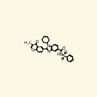 Cc1coc2ccc(-c3nc4cc(C(=O)NS(=O)(=O)c5ccccc5)ccc4n3C3CCCCC3)cc2c1=O